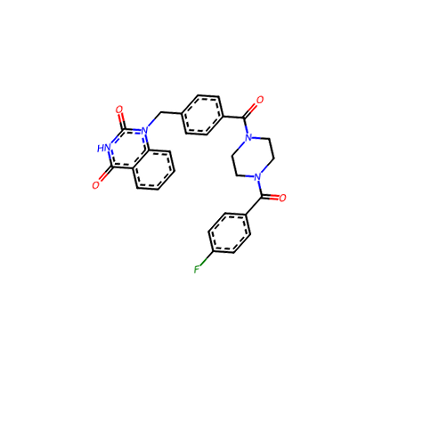 O=C(c1ccc(F)cc1)N1CCN(C(=O)c2ccc(Cn3c(=O)[nH]c(=O)c4ccccc43)cc2)CC1